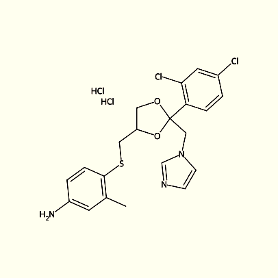 Cc1cc(N)ccc1SCC1COC(Cn2ccnc2)(c2ccc(Cl)cc2Cl)O1.Cl.Cl